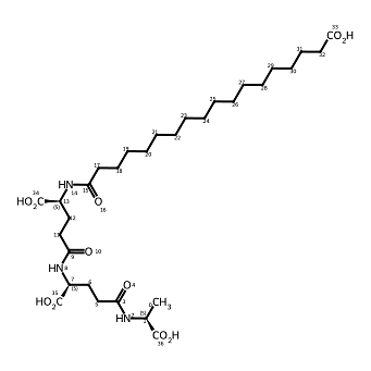 C[C@H](NC(=O)CC[C@H](NC(=O)CC[C@H](NC(=O)CCCCCCCCCCCCCCCCC(=O)O)C(=O)O)C(=O)O)C(=O)O